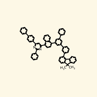 CC1(C)c2ccccc2-c2c(-c3cccc(-c4cc(-c5ccccc5)cc(-c5ccc(-c6cc(-c7ccc(-c8ccccc8)cc7)nc(-c7ccccc7)n6)c6ccccc56)c4)c3)cccc21